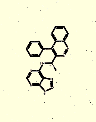 C[C@@H](Nc1ncnc2[nH]cnc12)c1nnc2ccccc2c1-c1ccccc1